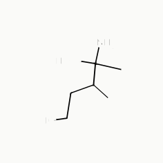 CC(CCO)C(C)(N)S(=O)(=O)O